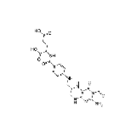 Nc1nc2c(c(=O)n1C=O)NC(CNc1ccc(C(=O)NC(CCC(=O)O)C(=O)O)cc1)CN2